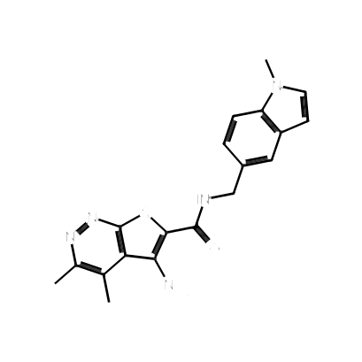 Cc1nnc2sc(C(=O)NCc3ccc4c(ccn4C)c3)c(N)c2c1C